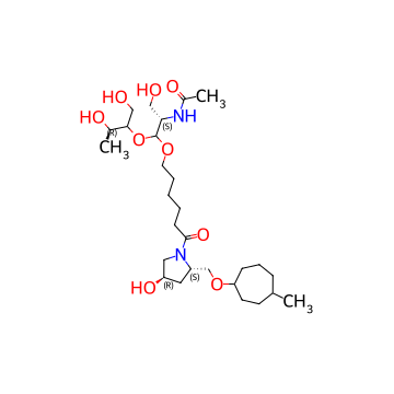 CC(=O)N[C@@H](CO)C(OCCCCCC(=O)N1C[C@H](O)C[C@H]1COC1CCCC(C)CC1)OC(CO)[C@@H](C)O